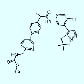 CC(C(=O)Nc1cc(-c2cnn3c2CC(C)(C)C3)c(Cl)cn1)c1ccc(-c2ccc(CNC(=O)OC(C)(C)C)nc2)nc1